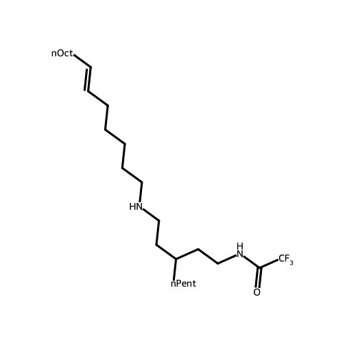 CCCCCCCCC=CCCCCCNCCC(CCCCC)CCNC(=O)C(F)(F)F